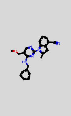 COCc1cnc(-n2c(C)cc3c(C#N)cccc32)nc1NCc1ccccc1